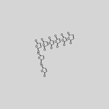 O=C1C=CC(=O)O1.O=C1C=CC(=O)O1.O=C1C=CC(=O)O1.O=C1C=CC(=O)O1.O=C1C=CC(=O)O1.O=C1C=CC(=O)O1.O=C1C=CC(=O)O1.O=C1C=CC(=O)O1